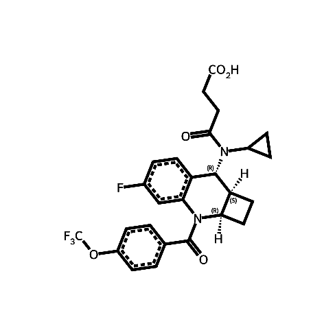 O=C(O)CCC(=O)N(C1CC1)[C@H]1c2ccc(F)cc2N(C(=O)c2ccc(OC(F)(F)F)cc2)[C@@H]2CC[C@@H]21